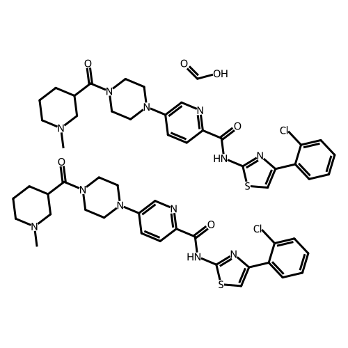 CN1CCCC(C(=O)N2CCN(c3ccc(C(=O)Nc4nc(-c5ccccc5Cl)cs4)nc3)CC2)C1.CN1CCCC(C(=O)N2CCN(c3ccc(C(=O)Nc4nc(-c5ccccc5Cl)cs4)nc3)CC2)C1.O=CO